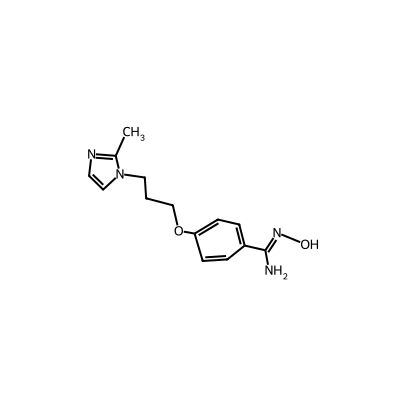 Cc1nccn1CCCOc1ccc(C(N)=NO)cc1